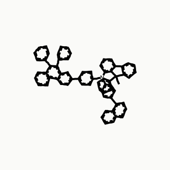 CC1(c2ccccc2)c2ccccc2-c2cccc(N(c3ccc(-c4ccc5c(c4)c(-c4ccccc4)c(-c4ccccc4)c4ccccc45)cc3)c3ccc(-c4cccc5ccccc45)cc3)c21